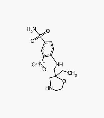 CCC1(CNc2ccc(S(N)(=O)=O)cc2[N+](=O)[O-])CNCCO1